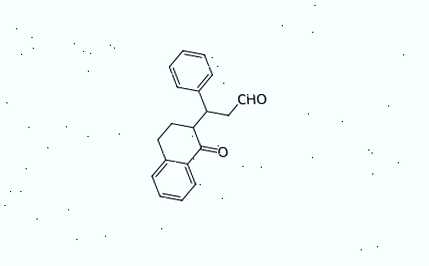 O=CCC(c1ccccc1)C1CCc2ccccc2C1=O